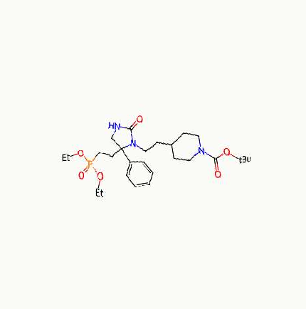 CCOP(=O)(CCC1(c2ccccc2)CNC(=O)N1CCC1CCN(C(=O)OC(C)(C)C)CC1)OCC